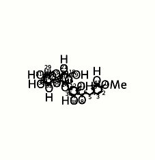 COc1ccc(CCC(=O)c2c(O)cc(O[C@@H]3O[C@H](CO)[C@@H](O)[C@H](O)[C@H]3O[C@@H]3O[C@H](C)[C@@H](O)[C@H](O)[C@@H]3O)cc2O)cc1O